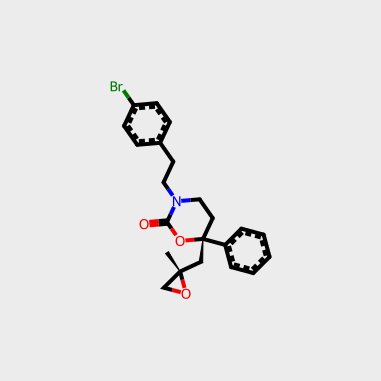 C[C@]1(C[C@]2(c3ccccc3)CCN(CCc3ccc(Br)cc3)C(=O)O2)CO1